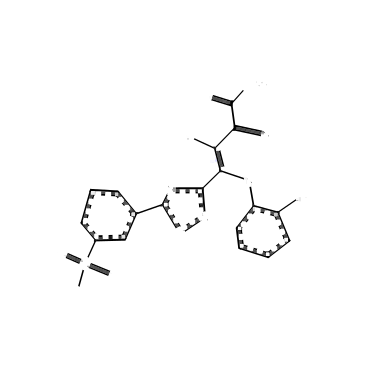 COC(=O)C(=N)/C(Br)=C(\Nc1ccccc1C(C)C)c1nsc(-c2cccc(S(C)(=O)=O)c2)n1